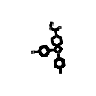 Cc1ccc(N2CC3(CCN(C(=O)OC(C)C)CC3)C2c2ccc(Cl)cc2)cc1